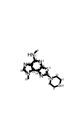 CNc1nc2sc(N3CCSCC3)nc2c2c1ncn2C